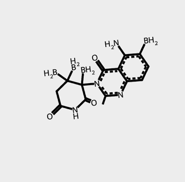 Bc1ccc2nc(C)n(C3(B)C(=O)NC(=O)CC3(B)B)c(=O)c2c1N